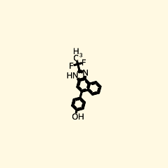 CC(F)(F)c1nc2c(cc(-c3ccc(O)cc3)c3ccccc32)[nH]1